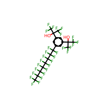 OC(c1cc(C(F)(F)C(F)(F)C(F)(F)C(F)(F)C(F)(F)C(F)(F)C(F)(F)C(F)(F)F)cc(C(O)(C(F)(F)F)C(F)(F)F)c1)(C(F)(F)F)C(F)(F)F